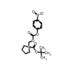 CC(C)(C)OC(=O)[N+]1(COC(=O)Oc2ccc([N+](=O)[O-])cc2)CCCC1